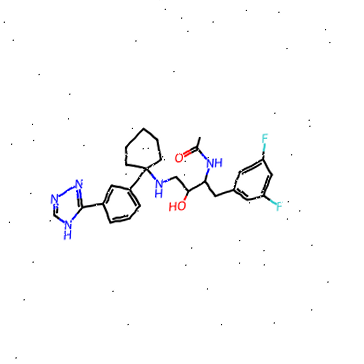 CC(=O)NC(Cc1cc(F)cc(F)c1)C(O)CNC1(c2cccc(-c3nnc[nH]3)c2)CCCCC1